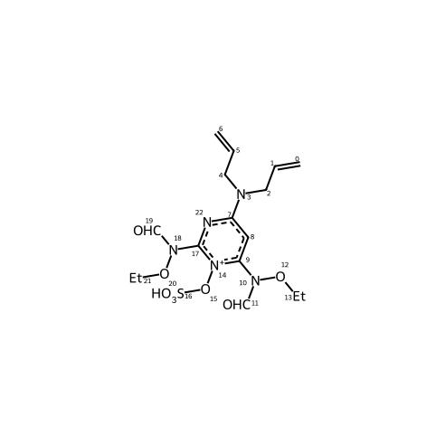 C=CCN(CC=C)c1cc(N(C=O)OCC)[n+](OS(=O)(=O)O)c(N(C=O)OCC)n1